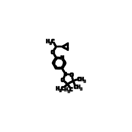 CC(Oc1ccc(B2OC(C)(C)C(C)(C)O2)cn1)C1CC1